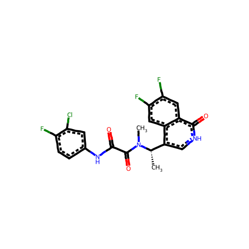 C[C@@H](c1c[nH]c(=O)c2cc(F)c(F)cc12)N(C)C(=O)C(=O)Nc1ccc(F)c(Cl)c1